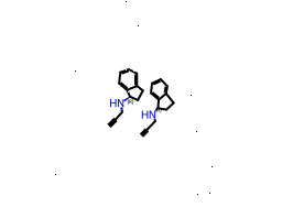 C#CCN[C@@H]1CCc2ccccc21.C#CCN[C@@H]1CCc2ccccc21